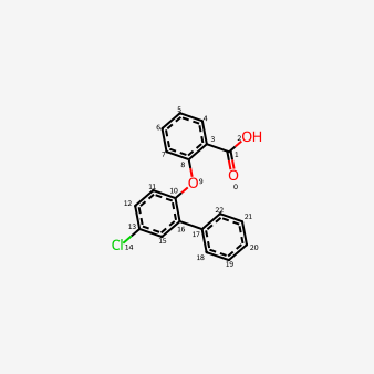 O=C(O)c1ccccc1Oc1ccc(Cl)cc1-c1ccccc1